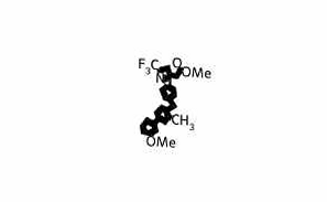 COC(=O)CC1CC(C(F)(F)F)=NN1c1ccc(Cc2ccc(-c3cccc(OC)c3)cc2C)cc1